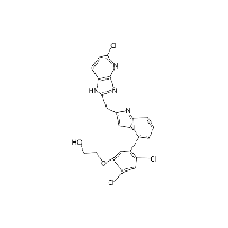 OCCOc1cc(-c2cccc3nc(Cc4nc5nc(Cl)ccc5[nH]4)cn23)c(Cl)cc1Cl